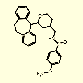 [O-][S+](NCC1CCOC(C2c3ccccc3CCc3ccccc32)C1)c1ccc(OC(F)(F)F)cc1